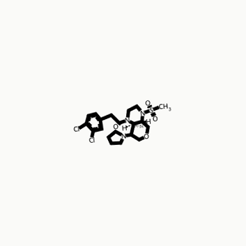 CS(=O)(=O)N1CCN(C(=O)Cc2ccc(Cl)c(Cl)c2)[C@@H]2C(N3CCCC3)COC[C@H]21